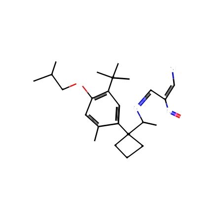 Cc1cc(OCC(C)C)c(C(C)(C)C)cc1C1(C(C)/N=C\C(=C/N)N=O)CCC1